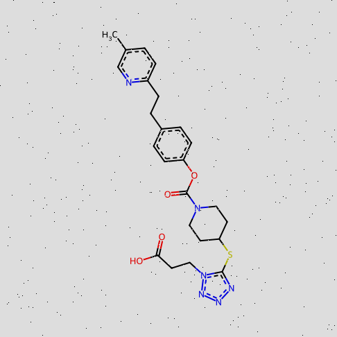 Cc1ccc(CCc2ccc(OC(=O)N3CCC(Sc4nnnn4CCC(=O)O)CC3)cc2)nc1